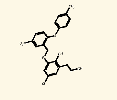 Cc1ccc(Sc2ccc([N+](=O)[O-])cc2CNc2cc(Cl)cc(CCO)c2O)cc1